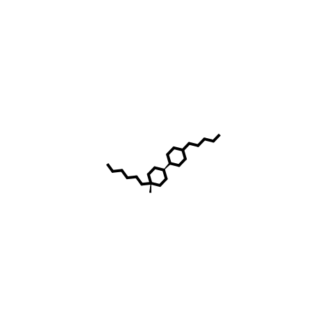 CCCCCC[C@]1(C)CC[C@@H](C2CCC(CCCCC)CC2)CC1